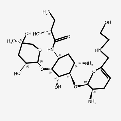 C[C@]1(O)CO[C@H](O[C@@H]2[C@@H](O)[C@H](O[C@H]3OC(CNCCO)=CC[C@H]3N)[C@@H](N)C[C@H]2NC(=O)[C@H](O)CN)[C@H](O)C1